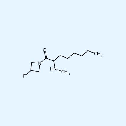 CCCCCCC(NC)C(=O)N1CC(F)C1